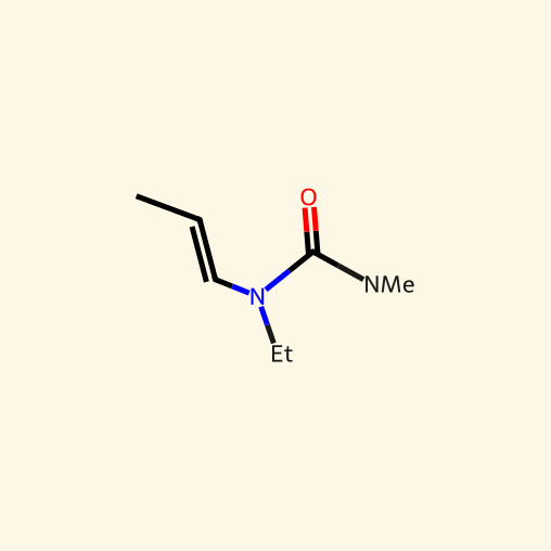 C/C=C/N(CC)C(=O)NC